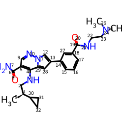 C[C@@H](CNc1c(C(N)=O)cnn2cc(-c3cccc(C(=O)NCCN(C)C)c3)cc12)C1CC1